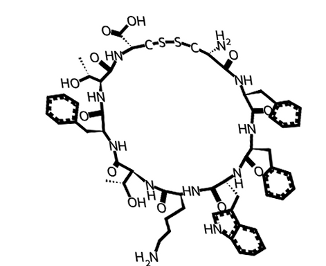 C[C@@H](O)[C@@H]1NC(=O)[C@H](Cc2ccccc2)NC(=O)[C@H]([C@@H](C)O)NC(=O)[C@H](CCCCN)NC(=O)[C@@H](Cc2c[nH]c3ccccc23)NC(=O)[C@H](Cc2ccccc2)NC(=O)[C@H](Cc2ccccc2)NC(=O)[C@@H](N)CSSC[C@@H](C(=O)O)NC1=O